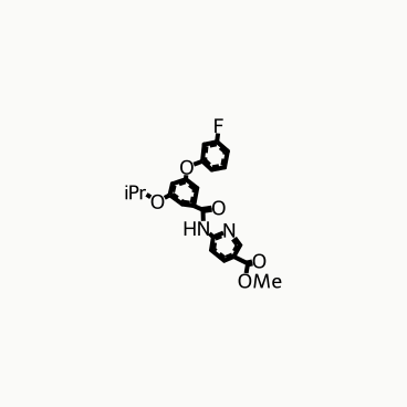 COC(=O)c1ccc(NC(=O)c2cc(Oc3cccc(F)c3)cc(OC(C)C)c2)nc1